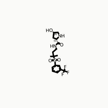 CC(C)(CCNC(=O)[C@@H]1C[C@@H](O)CN1)S(=O)(=O)c1cccc(C(F)(F)F)c1